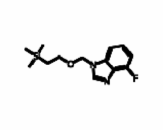 C[Si](C)(C)CCOCn1cnc2c(F)cccc21